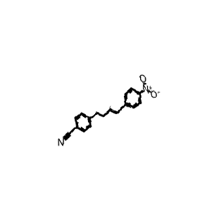 N#Cc1ccc(CC[CH]Cc2ccc([N+](=O)[O-])cc2)cc1